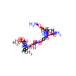 CC[C@@]1(O)C(=O)OCc2c1cc1n(c2=O)Cc2c-1nc1cc(F)c(C)c3c1c2[C@@H](NC(=O)COCNC(=O)CNC(=O)OCC1CCC(NC(=O)[C@H](CCCNC(N)=O)NC(=O)[C@@H](NC(=O)CCOCCOCCN)C(C)C)CC1)CC3